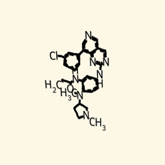 C=CC(=O)Nc1cc(Nc2ncc3cncc(-c4cccc(Cl)c4)c3n2)ccc1N(C)C1CCN(C)C1